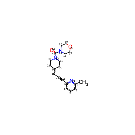 Cc1cccc(C#CC=C2CCN(C(=O)N3CCOCC3)CC2)n1